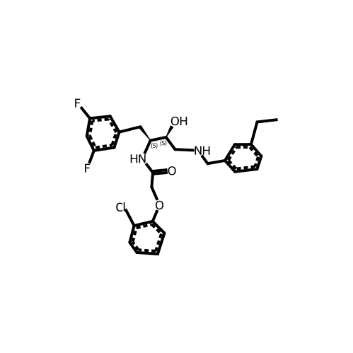 CCc1cccc(CNC[C@H](O)[C@H](Cc2cc(F)cc(F)c2)NC(=O)COc2ccccc2Cl)c1